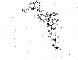 Cc1ccc2cccc(OCc3c(Cl)ccc(S(=O)(=O)N4CCC[C@H]4C(=O)NCC4CCN(C=NN)CC4)c3Cl)c2n1.Cl.Cl